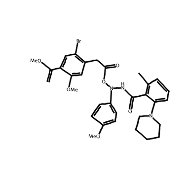 C=C(OC)c1cc(Br)c(CC(=O)ON(NC(=O)c2c(C)cccc2N2CCCCC2)c2ccc(OC)cc2)cc1OC